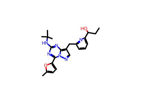 CCC(O)c1cccc(Cc2cnn3c(-c4ccc(C)o4)nc(NC(C)(C)C)nc23)n1